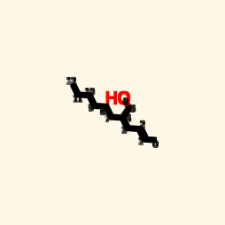 CC=CCC(CO)CCCCCC